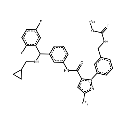 CC(C)(C)OC(=O)NCc1cccc(-n2nc(C(F)(F)F)cc2C(=O)Nc2cccc(C(NCC3CC3)c3cc(F)ccc3F)c2)c1